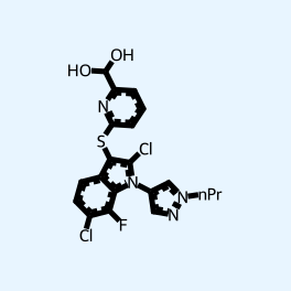 CCCn1cc(-n2c(Cl)c(Sc3cccc(C(O)O)n3)c3ccc(Cl)c(F)c32)cn1